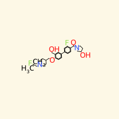 CC(C)(F)CN1CCC(COc2ccc(-c3ccc(C(=O)N4CC[C@H](O)C4)c(F)c3)cc2CO)CC1